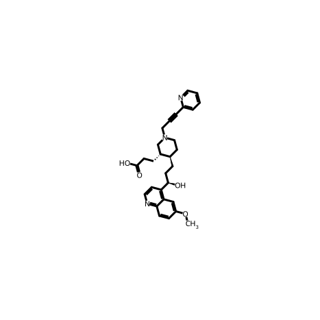 COc1ccc2nccc([C@H](O)CC[C@@H]3CCN(CC#Cc4ccccn4)C[C@H]3CCC(=O)O)c2c1